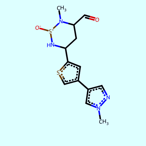 CN1C(C=O)CC(c2cc(-c3cnn(C)c3)cs2)N[S+]1[O-]